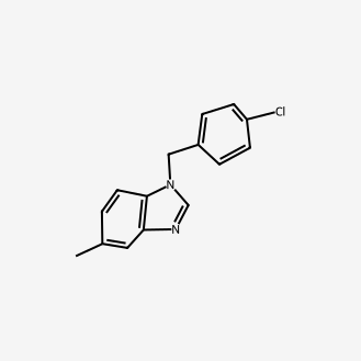 Cc1ccc2c(c1)ncn2Cc1ccc(Cl)cc1